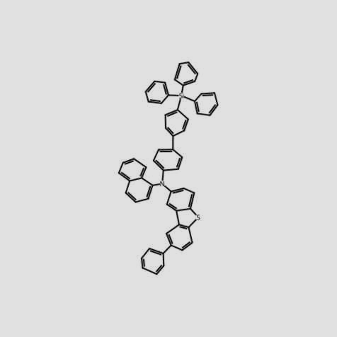 c1ccc(-c2ccc3sc4ccc(N(c5ccc(-c6ccc([Si](c7ccccc7)(c7ccccc7)c7ccccc7)cc6)cc5)c5cccc6ccccc56)cc4c3c2)cc1